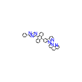 c1ccc(-c2cn3cc(-c4c5ccccc5c(-c5ccc6c(c5)c5cccnc5n6-c5ccc6ccc7cccnc7c6n5)c5ccccc45)ncc3n2)cc1